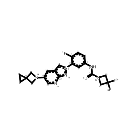 O=C(Nc1ccc(F)c(-n2cc3cc(N4CC5(CC5)C4)cnc3n2)c1)N1CC(F)(F)C1